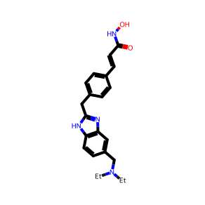 CCN(CC)Cc1ccc2[nH]c(Cc3ccc(/C=C/C(=O)NO)cc3)nc2c1